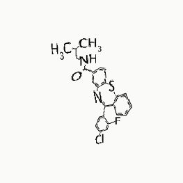 CC(C)CNC(=O)c1ccc2c(c1)N=C(c1ccc(Cl)cc1F)c1ccccc1S2